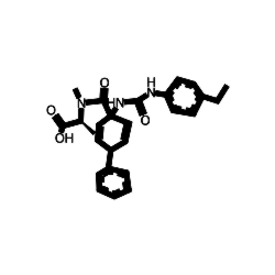 CCc1ccc(NC(=O)NC2(C(=O)N(C)[C@@H](C)C(=O)O)C=CC(c3ccccc3)C=C2)cc1